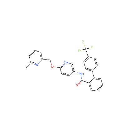 Cc1cccc(COc2ccc(NC(=O)c3ccccc3-c3ccc(C(F)(F)F)cc3)cn2)n1